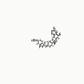 CCCCc1ccc(C(F)(F)Oc2ccc(C(F)(F)Oc3cc(F)c(OC(F)F)c(F)c3)cc2)c(F)c1